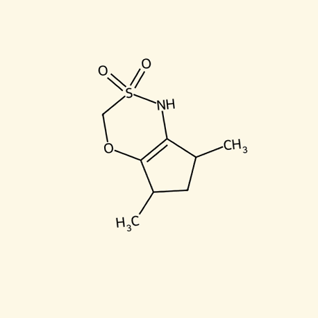 CC1CC(C)C2=C1NS(=O)(=O)CO2